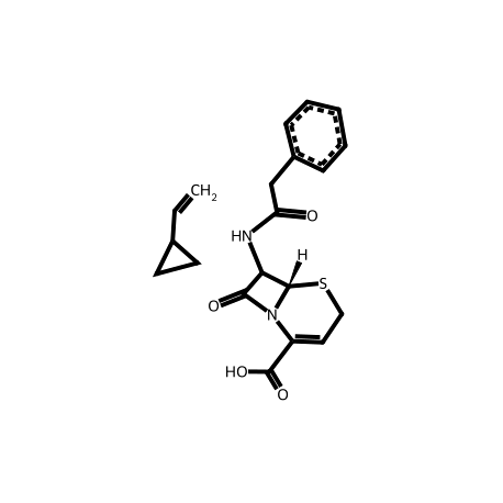 C=CC1CC1.O=C(Cc1ccccc1)NC1C(=O)N2C(C(=O)O)=CCS[C@@H]12